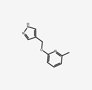 Cc1cccc(OCc2cn[nH]c2)n1